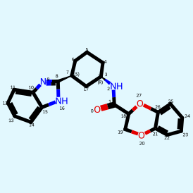 O=C(N[C@@H]1CCC[C@H](c2nc3ccccc3[nH]2)C1)C1COc2ccccc2O1